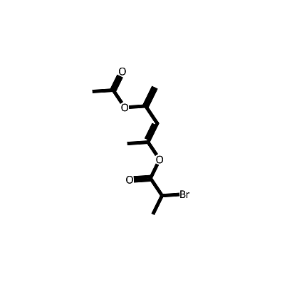 C=C(/C=C(\C)OC(=O)C(C)Br)OC(C)=O